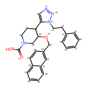 O=C(O)N1CCC(c2cnnn2CCc2ccccc2)C(OCc2ccc3ccccc3c2)C1